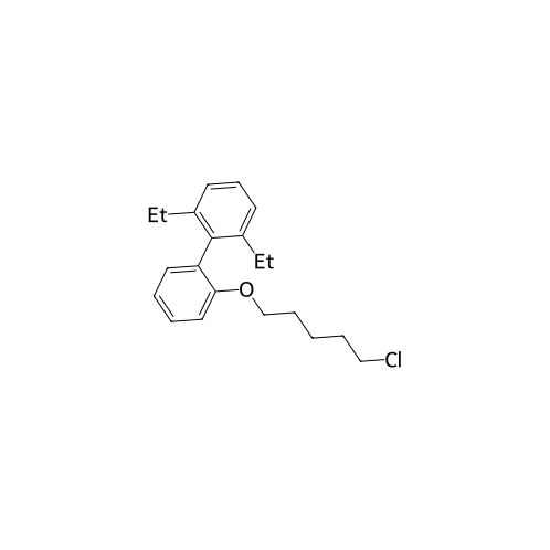 CCc1cccc(CC)c1-c1ccccc1OCCCCCCl